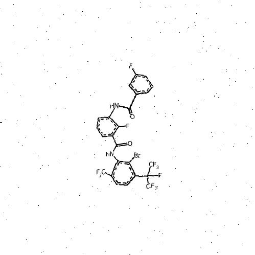 O=C(Nc1cccc(C(=O)Nc2c(C(F)(F)F)ccc(C(F)(C(F)(F)F)C(F)(F)F)c2Br)c1F)c1cccc(F)c1